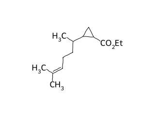 CCOC(=O)C1CC1C(C)CCC=C(C)C